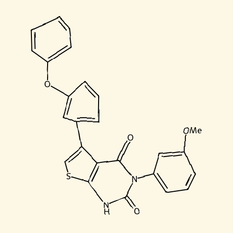 COc1cccc(-n2c(=O)[nH]c3scc(-c4cccc(Oc5ccccc5)c4)c3c2=O)c1